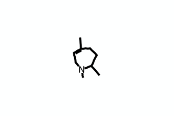 CC1=CCN(C)C(C)CC1